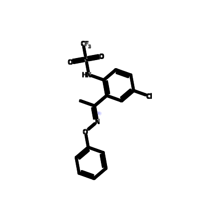 C/C(=N\Oc1ccccc1)c1cc(Cl)ccc1NS(=O)(=O)C(F)(F)F